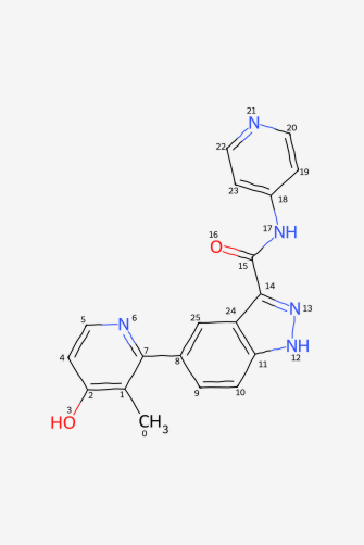 Cc1c(O)ccnc1-c1ccc2[nH]nc(C(=O)Nc3ccncc3)c2c1